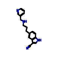 N#Cc1c[nH]c2ccc(CCCNCc3cccnc3)cc12